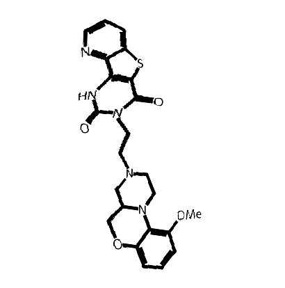 COc1cccc2c1N1CCN(CCn3c(=O)[nH]c4c(sc5cccnc54)c3=O)CC1CO2